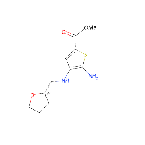 COC(=O)c1cc(NC[C@@H]2CCCO2)c(N)s1